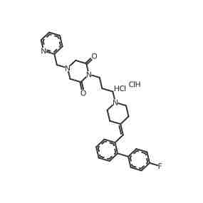 Cl.Cl.O=C1CN(Cc2ccccn2)CC(=O)N1CCCN1CCC(=Cc2ccccc2-c2ccc(F)cc2)CC1